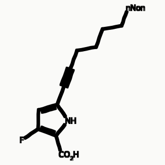 CCCCCCCCCCCCCC#Cc1cc(F)c(C(=O)O)[nH]1